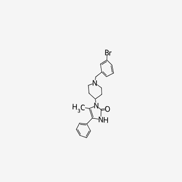 Cc1c(-c2ccccc2)[nH]c(=O)n1C1CCN(Cc2cccc(Br)c2)CC1